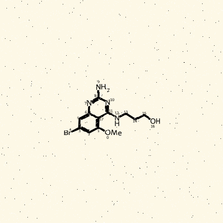 COc1cc(Br)cc2nc(N)nc(NCCCO)c12